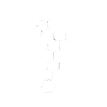 CN1C(=O)N(CC[C@H](CC(=NO)c2ccc3c4c(oc3c2)CCCC4)C(=O)O)C(=O)C1(C)C